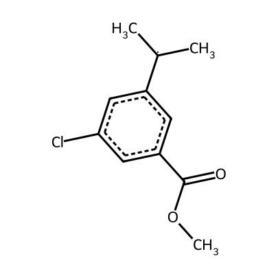 COC(=O)c1cc(Cl)cc([C](C)C)c1